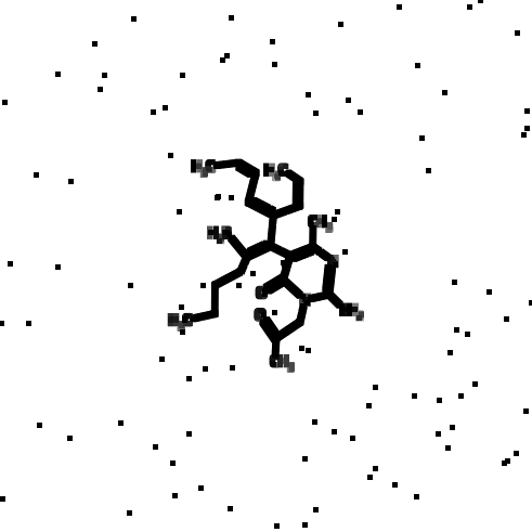 B\C(CCCC)=C(C(/C=C\C)=C/C=C\C)\c1c(C)nc(B)n(CC(C)=O)c1=O